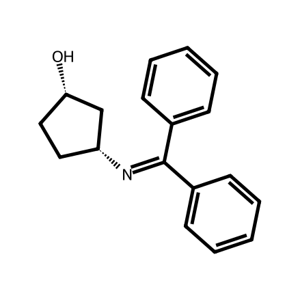 O[C@H]1CC[C@@H](N=C(c2ccccc2)c2ccccc2)C1